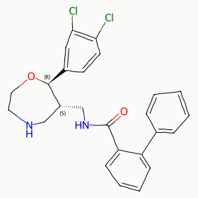 O=C(NC[C@@H]1CNCCO[C@H]1c1ccc(Cl)c(Cl)c1)c1ccccc1-c1ccccc1